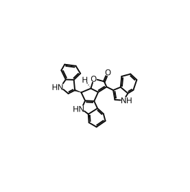 O=C1O[C@H]2C(=C1c1c[nH]c3ccccc13)c1c([nH]c3ccccc13)[C@H]2c1c[nH]c2ccccc12